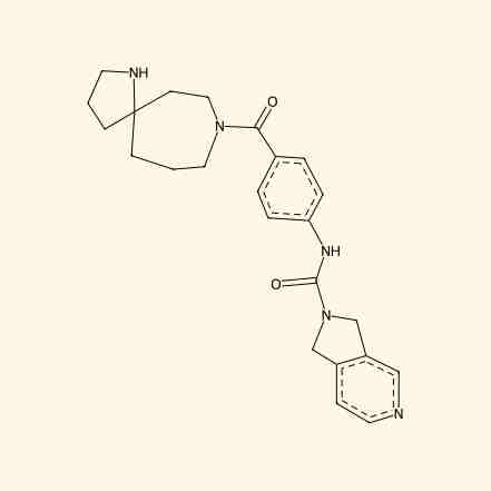 O=C(Nc1ccc(C(=O)N2CCCC3(CCCN3)CC2)cc1)N1Cc2ccncc2C1